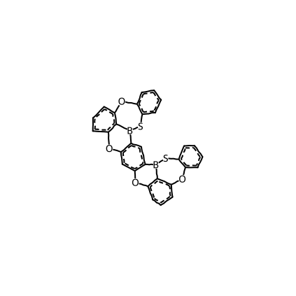 c1ccc2c(c1)Oc1cccc3c1B(S2)c1cc2c(cc1O3)Oc1cccc3c1B2Sc1ccccc1O3